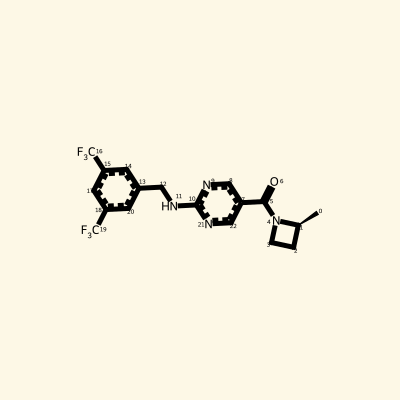 C[C@H]1CCN1C(=O)c1cnc(NCc2cc(C(F)(F)F)cc(C(F)(F)F)c2)nc1